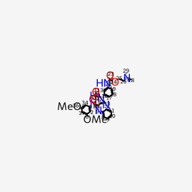 COc1cc(Nc2nc3ccccc3nc2N(c2cccc(NC(=O)OCCN(C)C)c2)[SH](=O)=O)cc(OC)c1